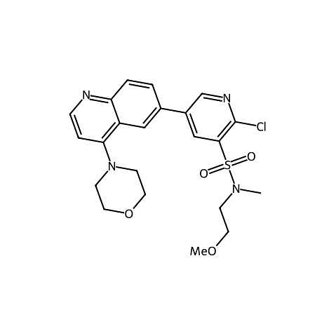 COCCN(C)S(=O)(=O)c1cc(-c2ccc3nccc(N4CCOCC4)c3c2)cnc1Cl